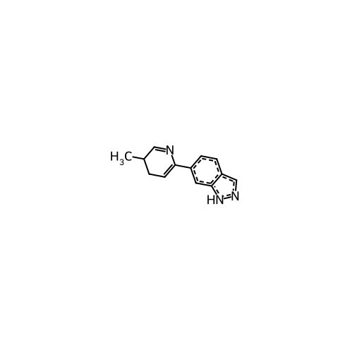 CC1C=NC(c2ccc3cn[nH]c3c2)=CC1